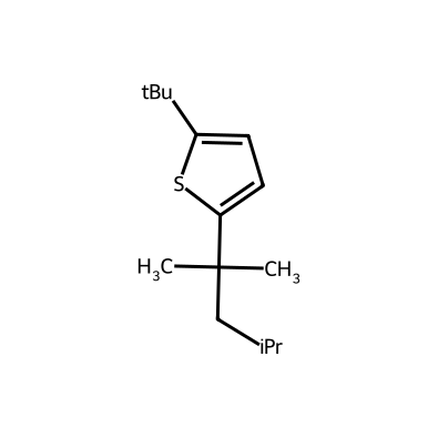 CC(C)CC(C)(C)c1ccc(C(C)(C)C)s1